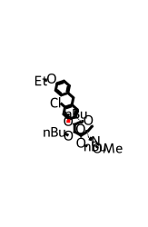 CCCCO[C@@H]1[C@@H](OCCCC)[C@@]2(c3ccc(Cl)c(Cc4ccc(OCC)cc4)c3)OC[C@](/C=N/OC)(O2)[C@H]1OCCCC